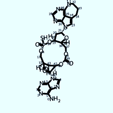 Nc1ncnc2c1ncn2[C@@H]1O[C@@H]2COP(=O)(S)O[C@H]3C[C@H](n4cc5c6c(ncnc64)NCCC5)O[C@@H]3COC(=O)O[C@@H]1[C@@H]2O